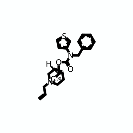 C=CC[N+]12CCC(CC1)[C@@H](OC(=O)N(Cc1ccccc1)c1ccsc1)C2